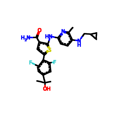 Cc1nc(Nc2sc(-c3c(F)cc(C(C)(C)O)cc3F)cc2C(N)=O)ccc1NCC1CC1